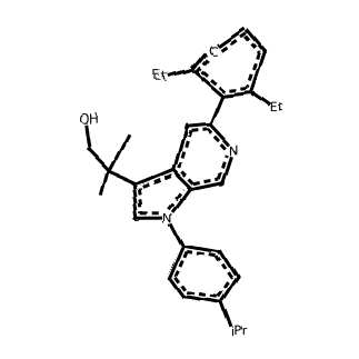 CCc1cccc(CC)c1-c1cc2c(C(C)(C)CO)cn(-c3ccc(C(C)C)cc3)c2cn1